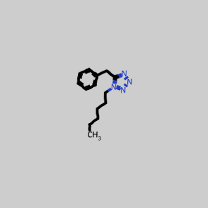 CCCCCCn1nnnc1Cc1ccccc1